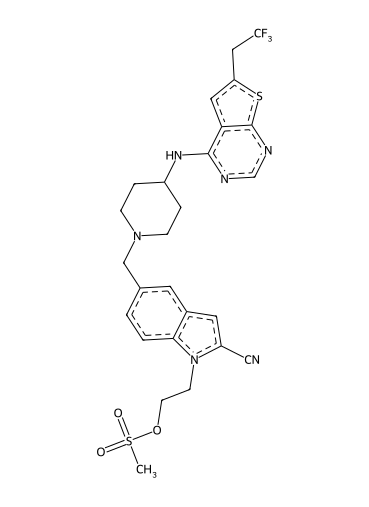 CS(=O)(=O)OCCn1c(C#N)cc2cc(CN3CCC(Nc4ncnc5sc(CC(F)(F)F)cc45)CC3)ccc21